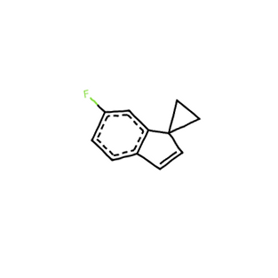 Fc1ccc2c(c1)C1(C=C2)CC1